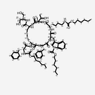 CCCCCCOC(=O)NCCCC[C@@H]1NC(=O)[C@@H](Cc2cn(C(=O)OCCCCCC)c3ccccc23)NC(=O)[C@H](Cc2ccccc2)NC(=O)[C@@H](NC(=O)[C@@H](Cc2ccccc2)NC(=O)OCCCCCC)CSSC[C@@H](C(=O)N[C@H](CO)[C@@H](C)O)NC(=O)[C@](C)(C(C)O)NC1=O